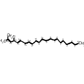 CCCCCCCCCCCCCCCCCCC(Cl)C=C(C)C